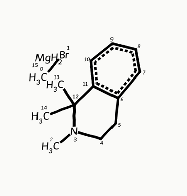 CBr.CN1CCc2ccccc2C1(C)C.[MgH2]